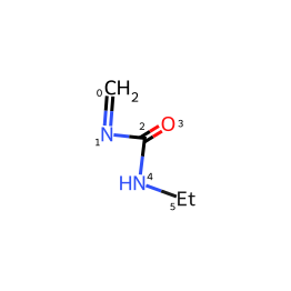 C=NC(=O)NCC